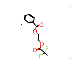 CC(F)(F)C(=O)OCCOC(=O)c1ccccc1